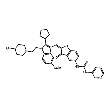 COc1ccc2c(c1)c(C=C1Oc3ccc(NC(=O)Nc4cccnc4)cc3C1=O)c(C1CCCC1)n2CCN1CCN(C)CC1